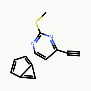 C#Cc1ccnc(SC)n1.c1cc2cc-2c1